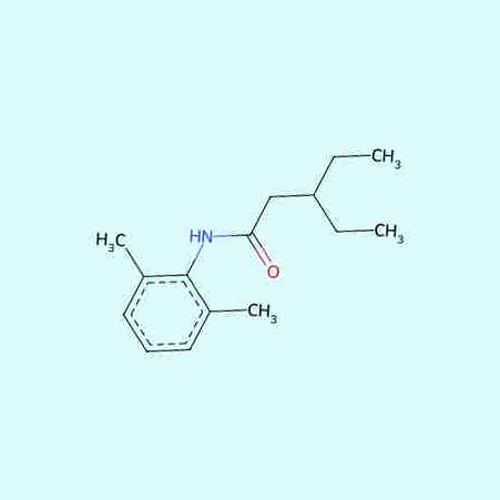 CCC(CC)CC(=O)Nc1c(C)cccc1C